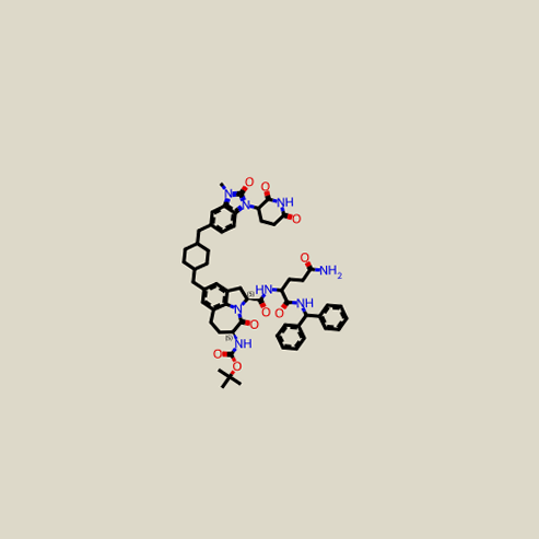 Cn1c(=O)n(C2CCC(=O)NC2=O)c2ccc(CC3CCC(Cc4cc5c6c(c4)C[C@@H](C(=O)NC(CCC(N)=O)C(=O)NC(c4ccccc4)c4ccccc4)N6C(=O)[C@@H](NC(=O)OC(C)(C)C)CC5)CC3)cc21